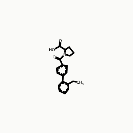 CCc1ccccc1-c1ccc(C(=O)N2CCCC2C(=O)O)cc1